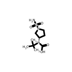 CC(C)(C)N(C(=O)O)[C@H]1CCN(S(N)(=O)=O)C1